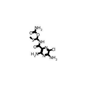 CSC(NC(=O)c1nc(Cl)c(N)nc1N)OC(N)=O